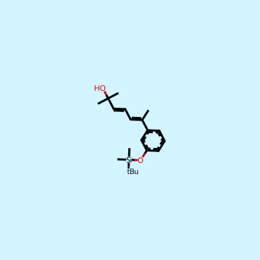 CC(=CC=CC(C)(C)O)c1cccc(O[Si](C)(C)C(C)(C)C)c1